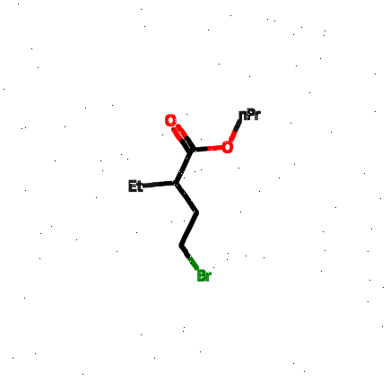 CCCOC(=O)C(CC)CCBr